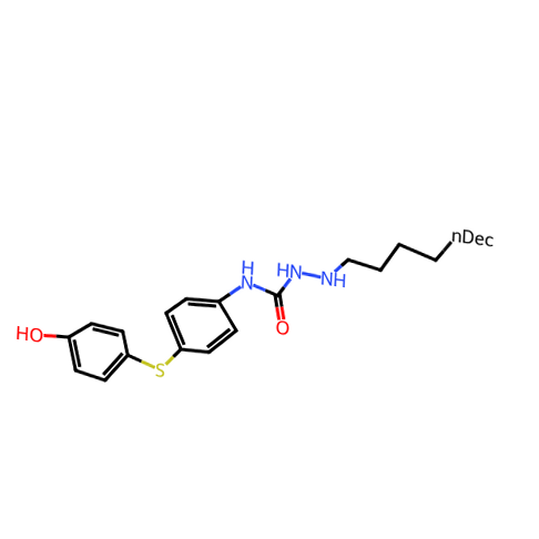 CCCCCCCCCCCCCCNNC(=O)Nc1ccc(Sc2ccc(O)cc2)cc1